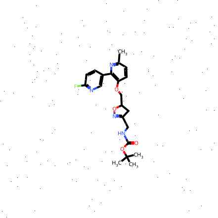 Cc1ccc(OCC2CC(CNC(=O)OC(C)(C)C)=NO2)c(-c2ccc(F)nc2)n1